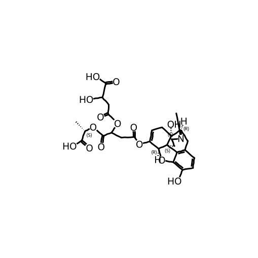 C[C@H](OC(=O)C(CC(=O)OC1=CC[C@@]2(O)[C@H]3Cc4ccc(O)c5c4[C@@]2(CCN3C)[C@H]1O5)OC(=O)CC(O)C(=O)O)C(=O)O